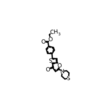 CCOC(=O)c1ccc(-c2cc3oc(N4CCSCC4)cc(=O)c3s2)cc1